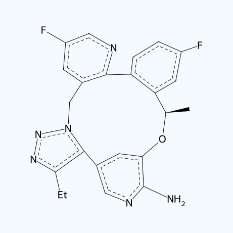 CCc1nnn2c1-c1cnc(N)c(c1)O[C@H](C)c1cc(F)ccc1-c1ncc(F)cc1C2